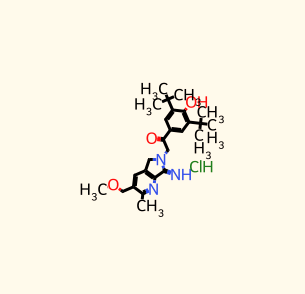 COCc1cc2c(nc1C)C(=N)N(CC(=O)c1cc(C(C)(C)C)c(O)c(C(C)(C)C)c1)C2.Cl